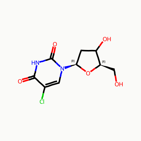 O=c1[nH]c(=O)n([C@H]2CC(O)[C@@H](CO)O2)cc1Cl